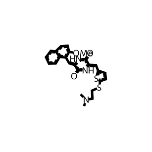 COc1ccc2ccccc2c1/C=c1\[nH]c(=O)/c(=C/c2ccc(SCCN(C)C)s2)[nH]c1=O